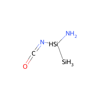 N[SiH]([SiH3])N=C=O